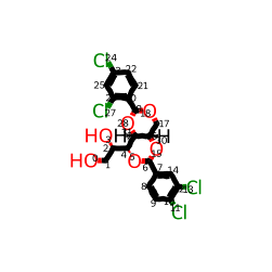 OC[C@@H](O)[C@H]1OC(c2ccc(Cl)c(Cl)c2)O[C@H]2COC(c3ccc(Cl)cc3Cl)O[C@@H]12